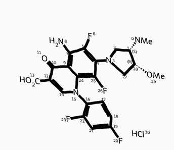 CN[C@H]1CN(c2c(F)c(N)c3c(=O)c(C(=O)O)cn(-c4ccc(F)cc4F)c3c2F)C[C@H]1OC.Cl